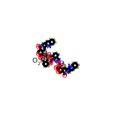 CC[C@@]1(OC(=O)OCc2cccc(COC(=O)O[C@]3(CC)C(=O)OCc4c3cc3n(c4=O)Cc4cc5ccccc5nc4-3)c2NC(=O)OCc2ccccc2[N+](=O)[O-])C(=O)OCc2c1cc1n(c2=O)Cc2cc3ccccc3nc2-1